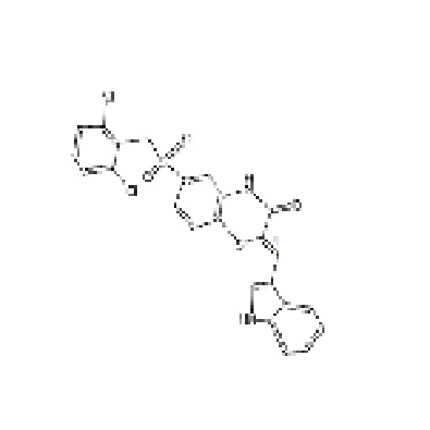 O=C1Nc2cc(S(=O)(=O)Cc3c(Cl)cccc3Cl)ccc2S/C1=C\c1c[nH]c2ccccc12